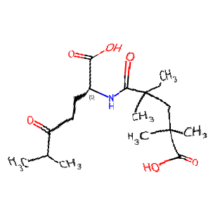 CC(C)C(=O)CC[C@H](NC(=O)C(C)(C)CC(C)(C)C(=O)O)C(=O)O